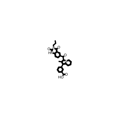 CCCn1c(=O)[nH]c2ccc(C(=O)c3c(C)c(-c4cccc(C(=O)O)c4)c4ccccn34)cc2c1=O